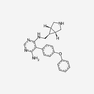 Nc1ncnc(NC[C@H]2[C@@H]3CNC[C@@H]32)c1-c1ccc(Oc2ccccc2)cc1